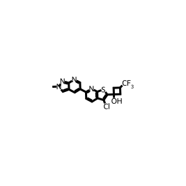 Cn1cc2cc(-c3ccc4c(Cl)c(C5(O)CC(C(F)(F)F)C5)sc4n3)cnc2n1